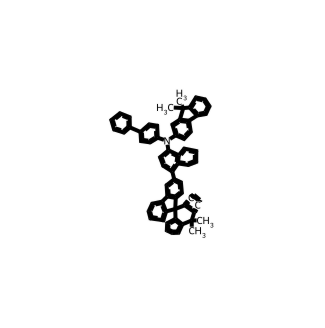 CC1(C)c2ccccc2-c2ccc(N(c3ccc(-c4ccccc4)cc3)c3ccc(-c4ccc5c(c4)-c4ccccc4C54c5ccccc5C(C)(C)c5ccccc54)c4ccccc34)cc21